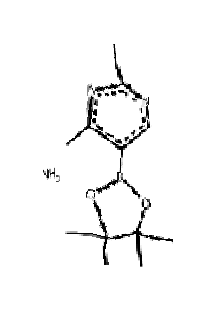 Cc1ncc(B2OC(C)(C)C(C)(C)O2)c(C)n1.N